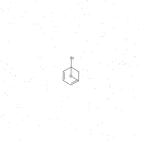 CCC12C=CC=C(C1)O2